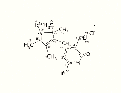 CC(C)c1ccc(C(C)C)c([O-])c1.CC1=C(C)C(C)(C)[C]([Ti+3])=C1C.[Cl-].[Cl-]